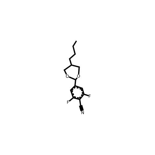 CCCCC1COC(c2cc(F)c(C#N)c(F)c2)OC1